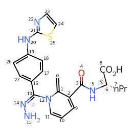 C=C1C(C(=O)N[C@@H](CCC)C(=O)O)=CC=CN1/C(=N\N)c1ccc(Nc2nccs2)cc1